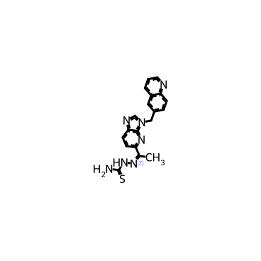 C/C(=N/NC(N)=S)c1ccc2ncn(Cc3ccc4ncccc4c3)c2n1